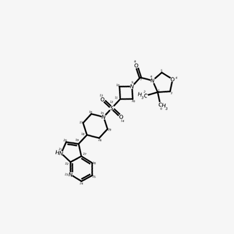 CC1(C)COCN1C(=O)N1CC(S(=O)(=O)N2CCC(c3c[nH]c4ncccc34)CC2)C1